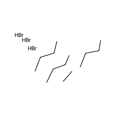 Br.Br.Br.CC.CCCC.CCCC.CCCC